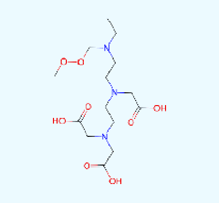 CCN(CCN(CCN(CC(=O)O)CC(=O)O)CC(=O)O)COOC